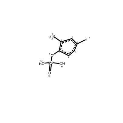 Nc1cc(F)ccc1O[As](=O)(O)O